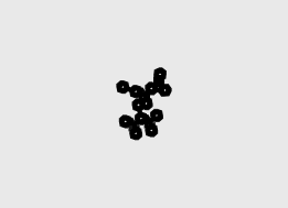 c1ccc(-c2ccc(N(c3ccc4c(c3)c3ccccc3n4-c3ccccc3)c3cccc4c(-c5cc(N(c6ccccc6)c6ccccc6)cc(N(c6ccccc6)c6ccccc6)c5)cccc34)cc2)cc1